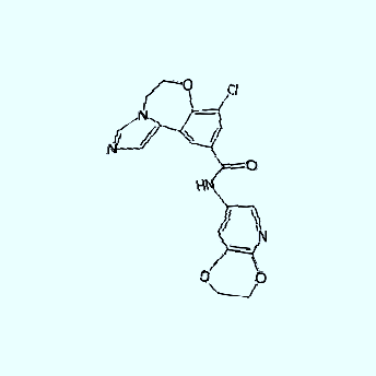 O=C(Nc1cnc2c(c1)OCCO2)c1cc(Cl)c2c(c1)-c1cncn1CCO2